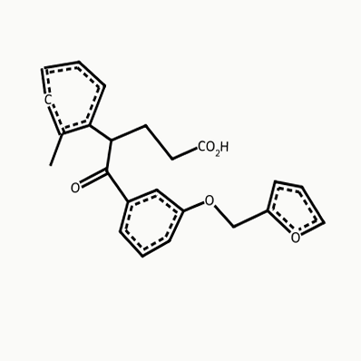 Cc1ccccc1C(CCC(=O)O)C(=O)c1cccc(OCc2ccco2)c1